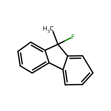 CC1(F)c2ccccc2-c2ccccc21